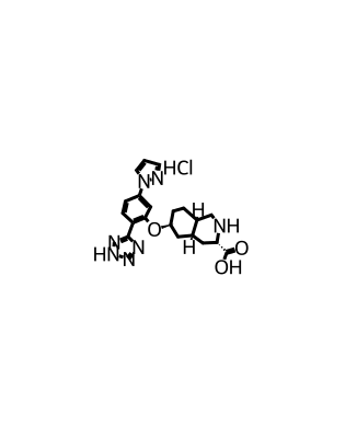 Cl.O=C(O)[C@@H]1C[C@H]2C[C@@H](Oc3cc(-n4cccn4)ccc3-c3nn[nH]n3)CC[C@H]2CN1